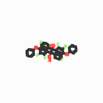 OC(c1ccccc1)(c1c(F)c(F)c(Oc2ccccc2)c(F)c1F)C(O)(c1ccccc1)c1c(F)c(F)c(Oc2ccccc2)c(F)c1F